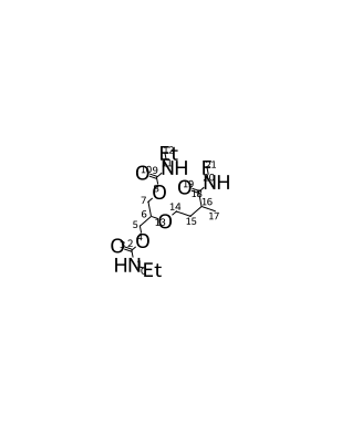 CCNC(=O)OCC(COC(=O)NCC)OCCC(C)C(=O)NF